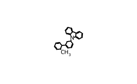 CC1C=CC=CC1C1=CC=CC(n2c3ccccc3c3ccccc32)C1